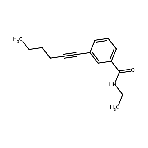 CCCCC#Cc1cccc(C(=O)NCC)c1